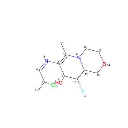 CC1=C(/N=C\C(C)Cl)C(O)C(F)C2COCCN12